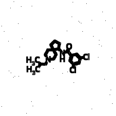 CC(C)CN1CCC2(CCCC2NC(=O)c2cc(Cl)cc(Cl)c2)CC1